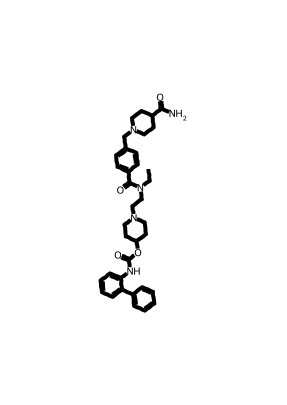 CCN(CCN1CCC(OC(=O)Nc2ccccc2-c2ccccc2)CC1)C(=O)c1ccc(CN2CCC(C(N)=O)CC2)cc1